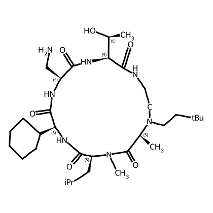 CC(C)C[C@H]1C(=O)N[C@@H](C2CCCCC2)C(=O)N[C@@H](CN)C(=O)N[C@@H]([C@H](C)O)C(=O)NCCN(CCC(C)(C)C)[C@@H](C)C(=O)N1C